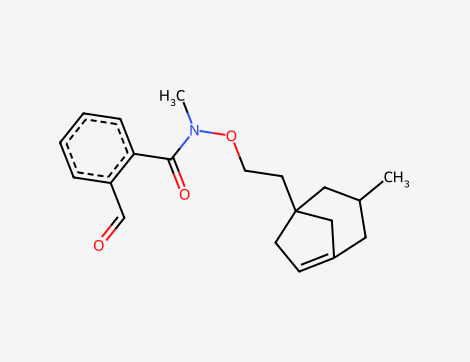 CC1CC2=CCC(CCON(C)C(=O)c3ccccc3C=O)(C2)C1